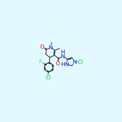 CC1=C(C(=O)NC2=CN(Cl)CN2)C(c2ccc(Cl)cc2F)CC(=O)N1C